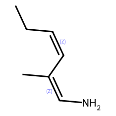 CC/C=C\C(C)=C/N